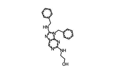 OCCNc1ncc2nc(NCc3ccccc3)n(Cc3ccccc3)c2n1